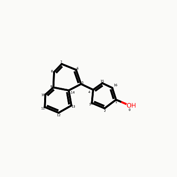 Oc1c[c]c(-c2cccc3ccccc23)cc1